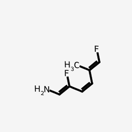 CC(/C=C\C(F)=C\N)=C\F